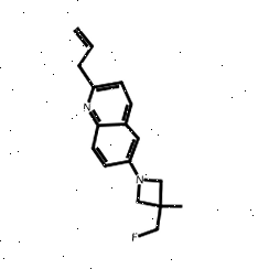 C=CCc1ccc2cc(N3CC(C)(CF)C3)ccc2n1